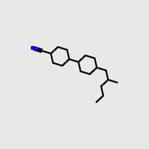 CCCC(C)CC1CCC(C2CCC(C#N)CC2)CC1